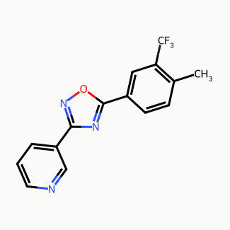 Cc1ccc(-c2nc(-c3cccnc3)no2)cc1C(F)(F)F